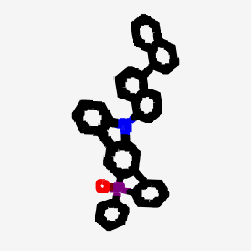 O=P1(c2ccccc2)c2ccccc2-c2cc3c(cc21)c1ccccc1n3-c1cccc2c(-c3cccc4ccccc34)cccc12